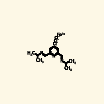 CC(C)N=Cc1cccc(C=NC(C)C)n1.[Cl-].[Cl-].[Cl-].[Fe+3]